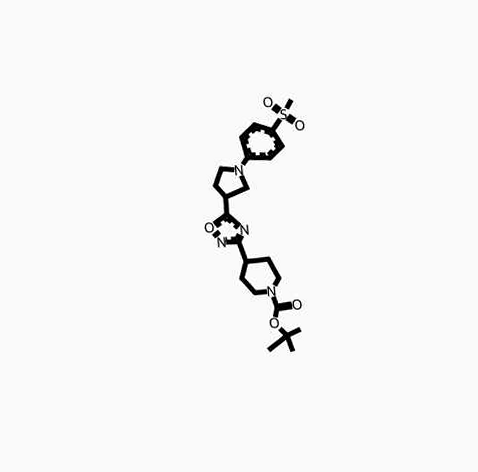 CC(C)(C)OC(=O)N1CCC(c2noc(C3CCN(c4ccc(S(C)(=O)=O)cc4)C3)n2)CC1